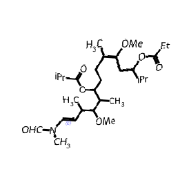 CCC(=O)OC(CC(OC)C(C)CCC(OC(=O)C(C)C)C(C)C(OC)C(C)/C=C/N(C)C=O)C(C)C